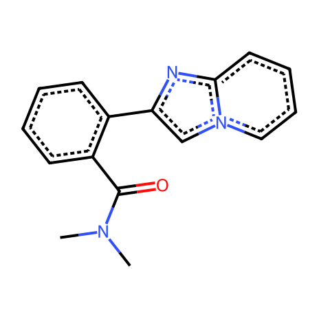 CN(C)C(=O)c1ccccc1-c1cn2ccccc2n1